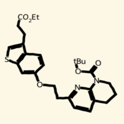 CCOC(=O)CCc1csc2cc(OCCc3ccc4c(n3)N(C(=O)OC(C)(C)C)CCC4)ccc12